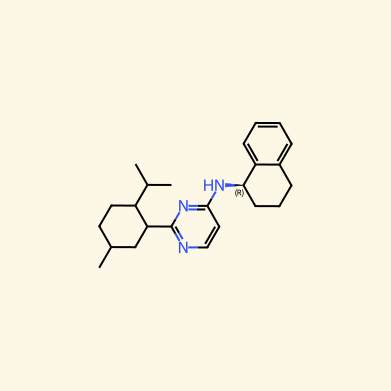 CC1CCC(C(C)C)C(c2nccc(N[C@@H]3CCCc4ccccc43)n2)C1